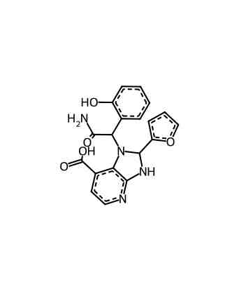 NC(=O)C(c1ccccc1O)N1c2c(C(=O)O)ccnc2NC1c1ccco1